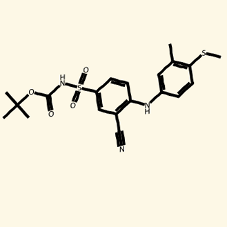 CSc1ccc(Nc2ccc(S(=O)(=O)NC(=O)OC(C)(C)C)cc2C#N)cc1C